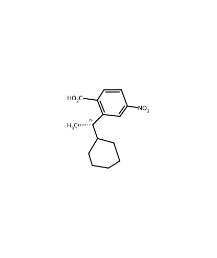 C[C@H](c1cc([N+](=O)[O-])ccc1C(=O)O)C1CCCCC1